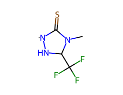 CN1C(=S)[N]NC1C(F)(F)F